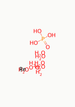 O.O.O.O.O.O.O.O=P(O)(O)O.[Re]